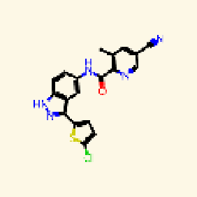 Cc1cc(C#N)cnc1C(=O)Nc1ccc2[nH]nc(-c3ccc(Cl)s3)c2c1